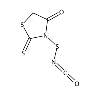 O=C=NSN1C(=O)CSC1=S